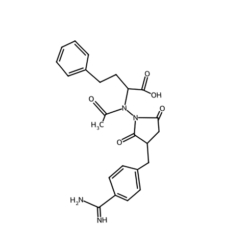 CC(=O)N(C(CCc1ccccc1)C(=O)O)N1C(=O)CC(Cc2ccc(C(=N)N)cc2)C1=O